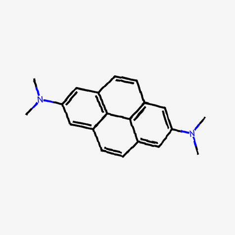 CN(C)c1cc2ccc3cc(N(C)C)cc4ccc(c1)c2c34